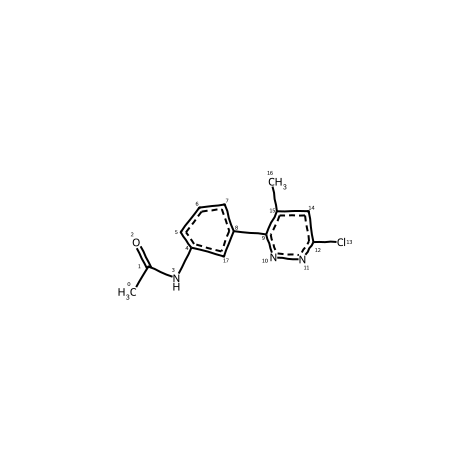 CC(=O)Nc1cccc(-c2nnc(Cl)cc2C)c1